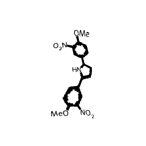 COc1ccc(C2CCC(c3ccc(OC)c([N+](=O)[O-])c3)N2)cc1[N+](=O)[O-]